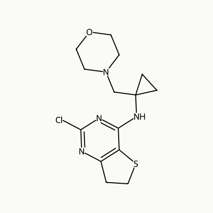 Clc1nc2c(c(NC3(CN4CCOCC4)CC3)n1)SCC2